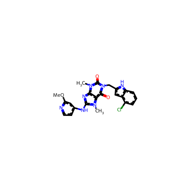 COc1cc(Nc2nc3c(c(=O)n(Cc4cc5c(Cl)cccc5[nH]4)c(=O)n3C)n2C)ccn1